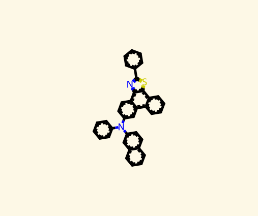 c1ccc(-c2nc3c4ccc(N(c5ccccc5)c5ccc6ccccc6c5)cc4c4ccccc4c3s2)cc1